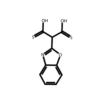 OC(=S)C(C(O)=S)c1nc2ccccc2o1